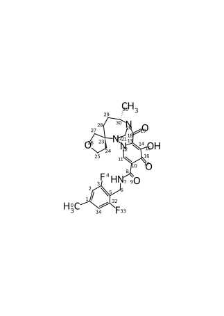 Cc1cc(F)c(CNC(=O)c2cn3c(c(O)c2=O)C(=O)N2CN3[C@@]3(CCOC3)CC[C@@H]2C)c(F)c1